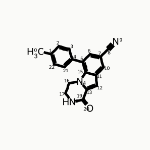 Cc1ccc(-c2cc(C#N)cc3cc4n(c23)CCNC4=O)cc1